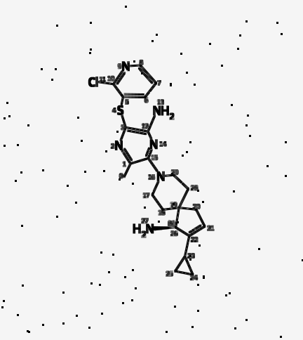 Cc1nc(Sc2cccnc2Cl)c(N)nc1N1CCC2(CC=C(C3CC3)[C@H]2N)CC1